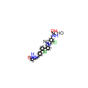 N#Cc1cc(CNC(C=O)CO)cc(Cl)c1Cn1ncc2c(-c3cccc(-c4ccc(CNCC5CCC(=O)N5)cc4)c3Cl)cccc21